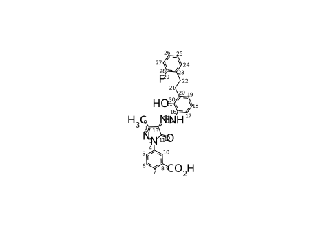 CC1=NN(c2cccc(C(=O)O)c2)C(=O)/C1=N\Nc1cccc(CCc2ccccc2F)c1O